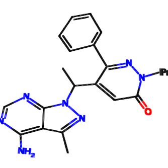 Cc1nn(C(C)c2cc(=O)n(C(C)C)nc2-c2ccccc2)c2ncnc(N)c12